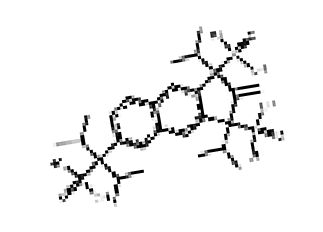 CC(C)C(c1ccc2cc(C(C(C)C)(C(C)C)P(=O)(O)O)c(C(C(C)C)(C(C)C)P(=O)(O)O)cc2c1)(C(C)C)P(=O)(O)O